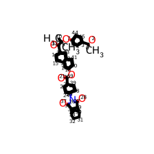 CC(=O)c1ccc(OC(C)(C)C(=O)c2ccc3cc(OC(=O)c4ccc(N5C(=O)C6C7CCC(C7)C6C5=O)cc4)ccc3c2)cc1